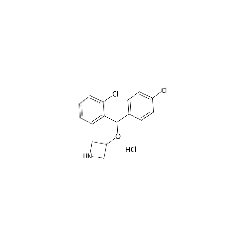 Cl.Clc1ccc(C(OC2CNC2)c2ccccc2Cl)cc1